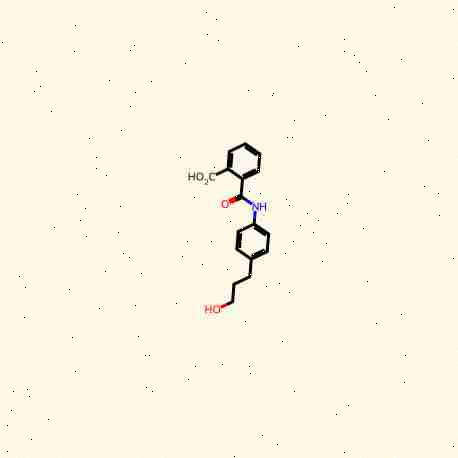 O=C(O)c1ccccc1C(=O)Nc1ccc(CCCO)cc1